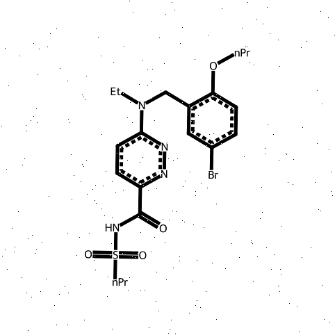 CCCOc1ccc(Br)cc1CN(CC)c1ccc(C(=O)NS(=O)(=O)CCC)nn1